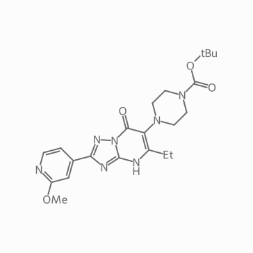 CCc1[nH]c2nc(-c3ccnc(OC)c3)nn2c(=O)c1N1CCN(C(=O)OC(C)(C)C)CC1